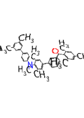 Cc1cc(C)cc(-c2ccc(N(C)c3c(C)cc(-c4cccc(C(=O)c5c(C)cc(C)cc5C)c4)cc3C)cc2)c1